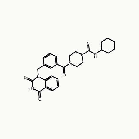 O=C(NC1CCCCC1)N1CCN(C(=O)c2cccc(Cn3c(=O)[nH]c(=O)c4ccccc43)c2)CC1